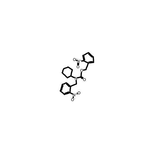 O=C(OCc1ccccc1[N+](=O)[O-])N(Cc1ccccc1[N+](=O)[O-])C1CCCCC1